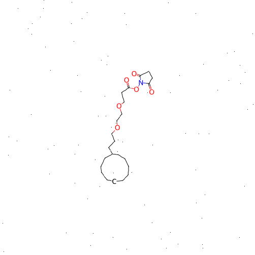 O=C(CCOCCOCCCC1CCCCCCCCCC1)ON1C(=O)CCC1=O